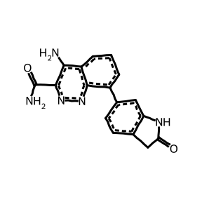 NC(=O)c1nnc2c(-c3ccc4c(c3)NC(=O)C4)cccc2c1N